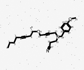 CCCCC#CC[C@H](C)OCC#CCN(CCC#N)Cc1ccc(OC)cc1